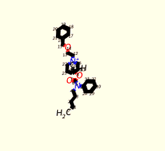 C=CCCCN(C(=O)O[C@H]1C[N+]2(CCOCc3ccccc3)CCC1CC2)c1ccccc1